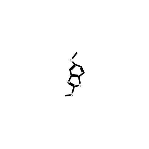 COc1ccc2sc(SC)nc2c1